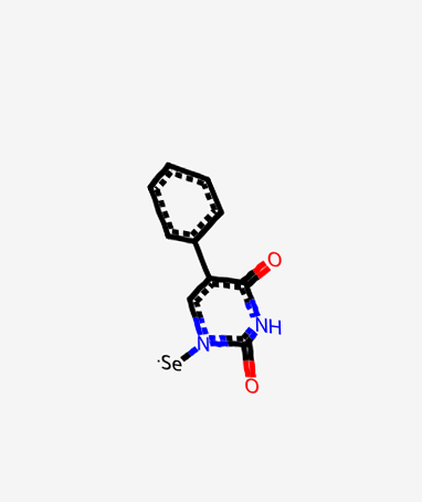 O=c1[nH]c(=O)n([Se])cc1-c1ccccc1